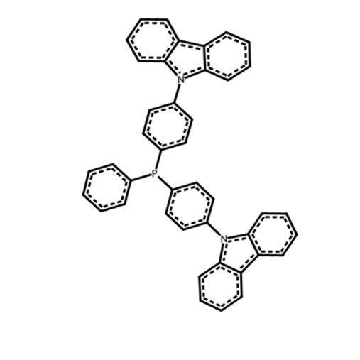 c1ccc(P(c2ccc(-n3c4ccccc4c4ccccc43)cc2)c2ccc(-n3c4ccccc4c4ccccc43)cc2)cc1